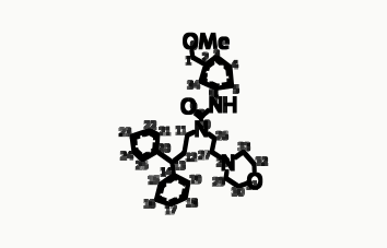 COCc1cccc(NC(=O)N(CCC(c2ccccc2)c2ccccc2)CCN2CCOCC2)c1